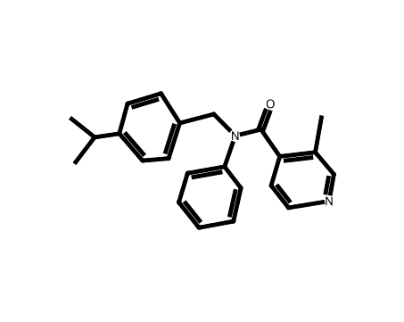 Cc1cnccc1C(=O)N(Cc1ccc(C(C)C)cc1)c1ccccc1